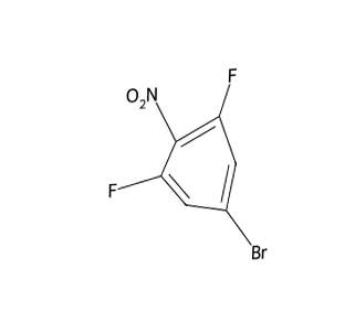 O=[N+]([O-])c1c(F)cc(Br)cc1F